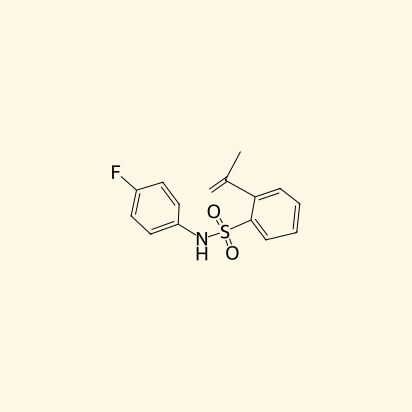 C=C(C)c1ccccc1S(=O)(=O)Nc1ccc(F)cc1